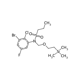 CCCS(=O)(=O)N(COCC[Si](C)(C)C)c1cc(F)cc(Br)c1Cl